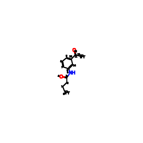 CC(C)CCC(=O)Nc1cccc(C(=O)C(C)C)c1